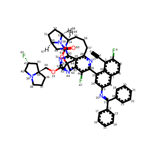 C#Cc1c(F)ccc2cc(N=C(c3ccccc3)c3ccccc3)cc(-c3nc4c5c(nc(OC[C@@]67CCCN6C[C@H](F)C7)nc5c3F)N3C[C@H]5CC[C@@H]([C@H]3CCC4)N5C(=O)OC(C)(C)C)c12